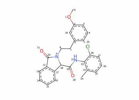 COc1cccc(CCN2C(=O)c3ccccc3C2C(=O)Nc2c(C)cccc2Cl)c1